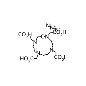 O=C(O)CN1CCN(CC(=O)O)CCN(CC(=O)O)CCN(CC(=O)O)CC1.[N-]=[N+]=[N-]